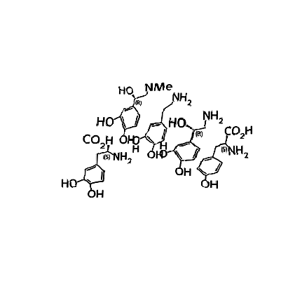 CNC[C@H](O)c1ccc(O)c(O)c1.NCCc1ccc(O)c(O)c1.NC[C@H](O)c1ccc(O)c(O)c1.N[C@@H](Cc1ccc(O)c(O)c1)C(=O)O.N[C@@H](Cc1ccc(O)cc1)C(=O)O